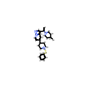 C=C(c1cnn2ccc(C3CCN(Sc4ccccc4)CC3)cc12)N1CCC(C)CC1